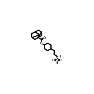 CS(=O)(=O)NCCC1CCC(OC(=O)C23CC4CC(CC(C4)C2)C3)CC1